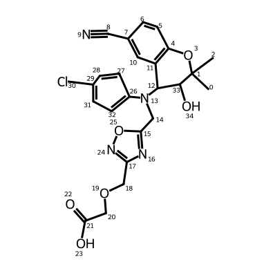 CC1(C)Oc2ccc(C#N)cc2C(N(Cc2nc(COCC(=O)O)no2)c2ccc(Cl)cc2)C1O